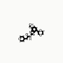 COc1ccc(C2COCCO2)c2sc(NC(=O)CC3CCOCC3)nc12